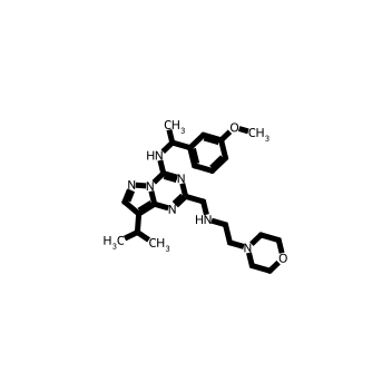 COc1cccc(C(C)Nc2nc(CNCCN3CCOCC3)nc3c(C(C)C)cnn23)c1